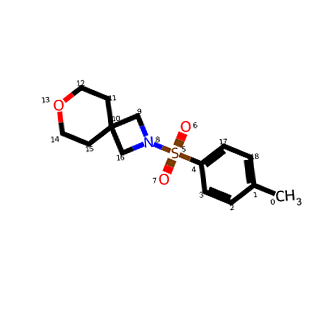 Cc1ccc(S(=O)(=O)N2CC3(CCOCC3)C2)cc1